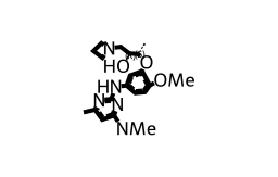 CNc1cc(C)nc(Nc2ccc(OC)c(O[C@@H](C)[C@H](O)CN3CCC3)c2)n1